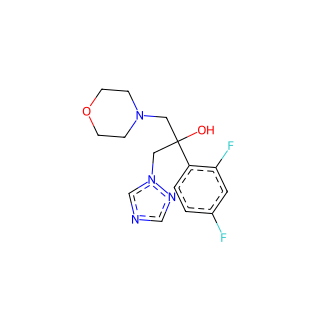 OC(CN1CCOCC1)(Cn1cncn1)c1ccc(F)cc1F